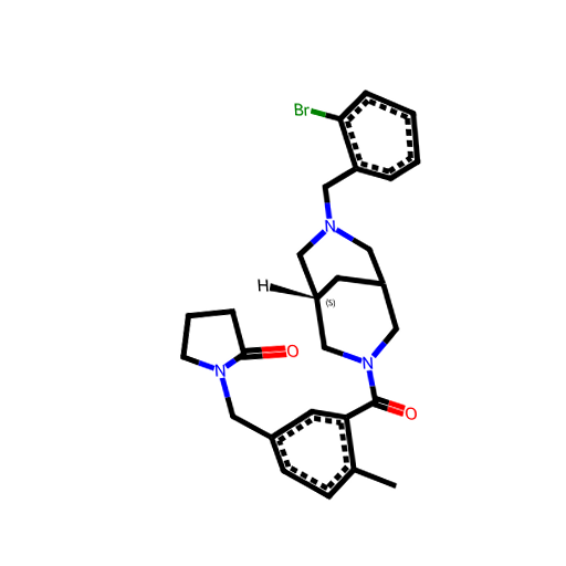 Cc1ccc(CN2CCCC2=O)cc1C(=O)N1CC2C[C@@H](CN(Cc3ccccc3Br)C2)C1